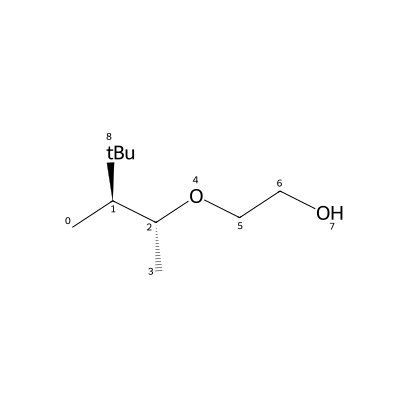 C[C@H]([C@@H](C)OCCO)C(C)(C)C